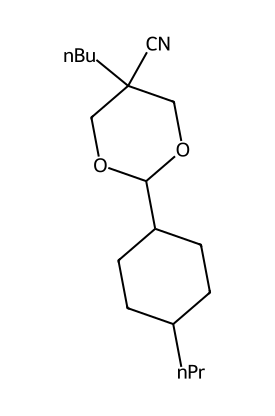 CCCCC1(C#N)COC(C2CCC(CCC)CC2)OC1